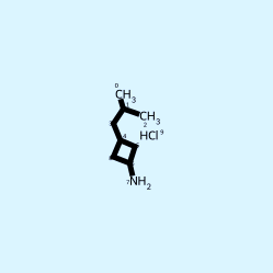 CC(C)CC1CC(N)C1.Cl